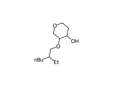 CCCCC(CC)COC1COCCC1O